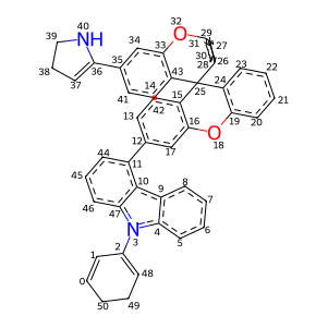 C1=CC(n2c3ccccc3c3c(-c4ccc5c(c4)Oc4ccccc4C54c5ccccc5Oc5cc(C6=CCCN6)ccc54)cccc32)=CCC1